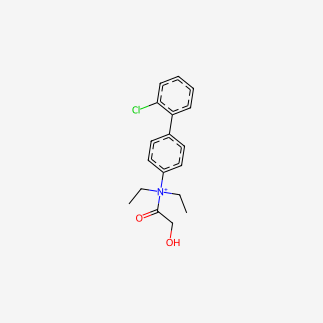 CC[N+](CC)(C(=O)CO)c1ccc(-c2ccccc2Cl)cc1